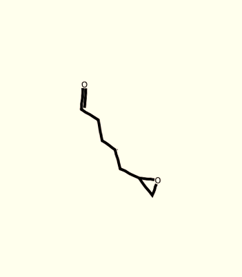 O=CCC[CH]CC1CO1